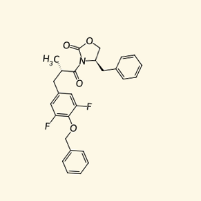 C[C@@H](Cc1cc(F)c(OCc2ccccc2)c(F)c1)C(=O)N1C(=O)OC[C@H]1Cc1ccccc1